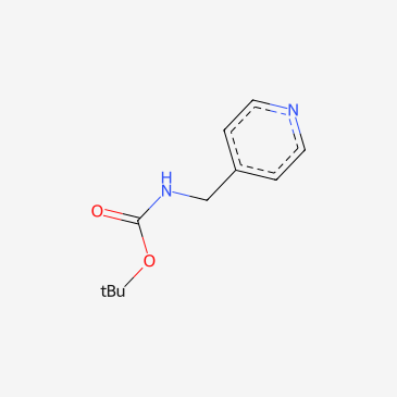 CC(C)(C)OC(=O)NCc1ccncc1